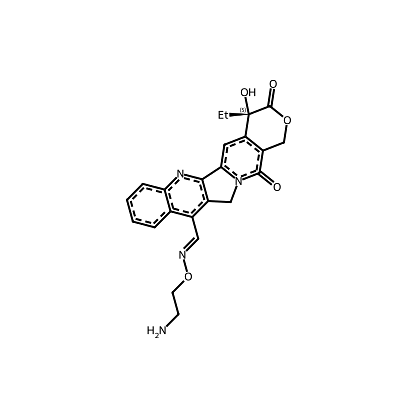 CC[C@@]1(O)C(=O)OCc2c1cc1n(c2=O)Cc2c-1nc1ccccc1c2C=NOCCN